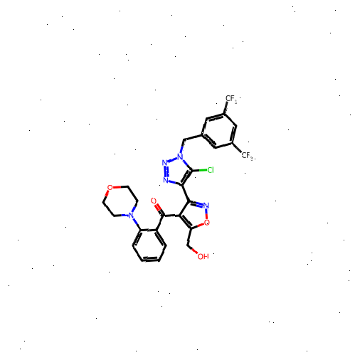 O=C(c1ccccc1N1CCOCC1)c1c(-c2nnn(Cc3cc(C(F)(F)F)cc(C(F)(F)F)c3)c2Cl)noc1CO